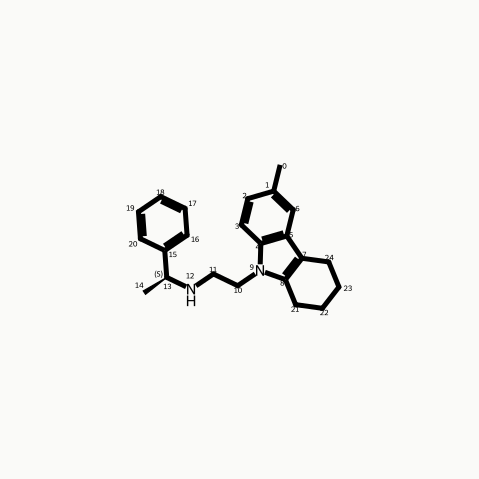 Cc1ccc2c(c1)c1c(n2CCN[C@@H](C)c2ccccc2)CCCC1